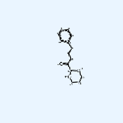 O=C(CCCc1ccccc1)C1OCCCO1